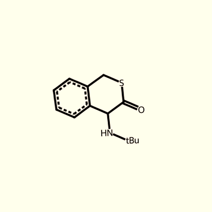 CC(C)(C)NC1C(=O)SCc2ccccc21